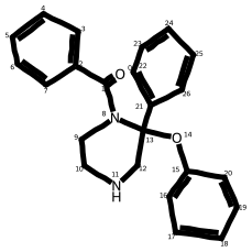 O=C(c1ccccc1)N1CCNCC1(Oc1ccccc1)c1ccccc1